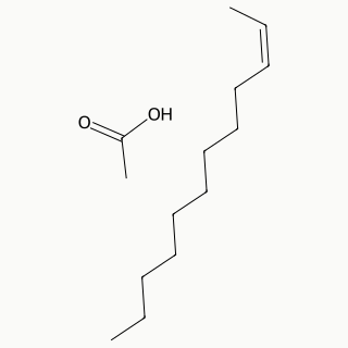 C/C=C\CCCCCCCCC.CC(=O)O